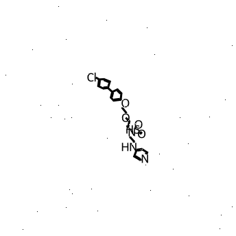 O=[SH](=O)N(CCNc1ccncc1)CCOCCOc1ccc(-c2ccc(Cl)cc2)cc1